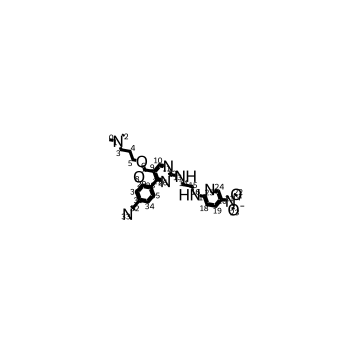 CN(C)CCCOC(=O)c1cnc(NCCNc2ccc([N+](=O)[O-])cn2)nc1-c1ccc(C#N)cc1